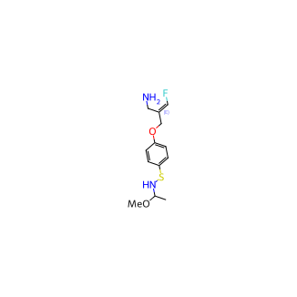 COC(C)NSc1ccc(OC/C(=C/F)CN)cc1